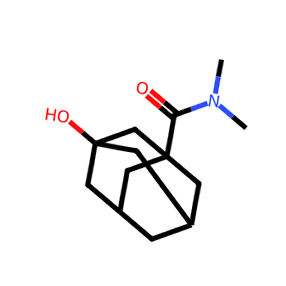 CN(C)C(=O)C12CC3CC(CC(O)(C3)C1)C2